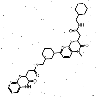 CN1C(=O)C(CC(=O)NCC2CCCCC2)Sc2nc(C3CCCC(CNC(=O)CC4Sc5ncccc5NC4=O)C3)ccc21